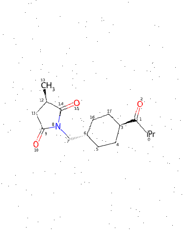 CC(C)C(=O)[C@H]1CC[C@H](CN2C(=O)C[C@@H](C)C2=O)CC1